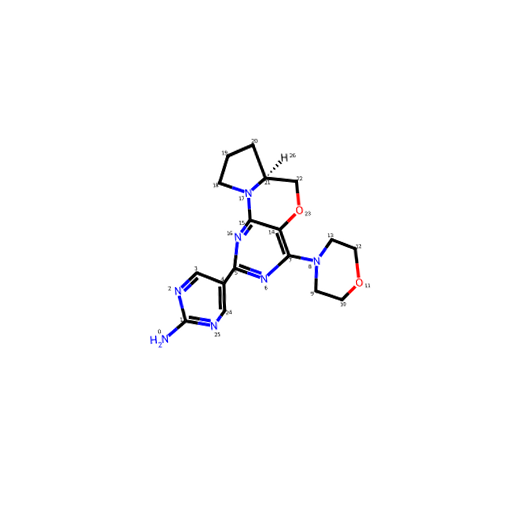 Nc1ncc(-c2nc(N3CCOCC3)c3c(n2)N2CCC[C@H]2CO3)cn1